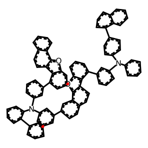 c1ccc(-c2ccccc2N(c2cccc(-c3ccc4ccc5c(oc6cccc(-c7cccc(N(c8ccccc8)c8ccc(-c9cccc%10ccccc9%10)cc8)c7)c65)c4c3)c2)c2cccc(-c3cccc4oc5c6ccccc6ccc5c34)c2)cc1